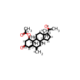 C=C1C[C@@H]2[C@H](CC[C@]3(C)[C@@H](C(C)=O)CC[C@@H]23)[C@@H]2C1=CC(=O)CC2OC(C)=O